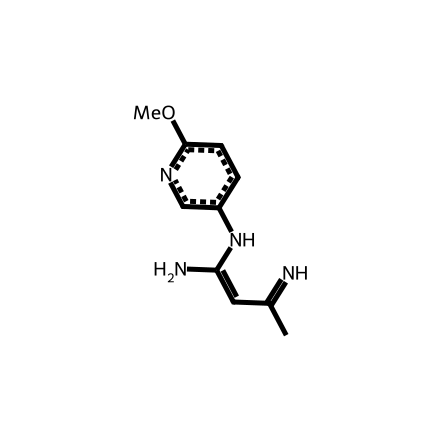 COc1ccc(N/C(N)=C\C(C)=N)cn1